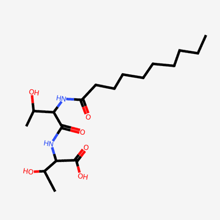 CCCCCCCCCC(=O)NC(C(=O)NC(C(=O)O)C(C)O)C(C)O